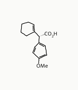 COc1ccc([C@@H](C(=O)O)C2=CCCCC2)cc1